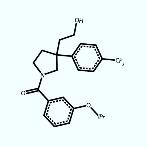 CC(C)Oc1cccc(C(=O)N2CCC(CCO)(c3ccc(C(F)(F)F)cc3)C2)c1